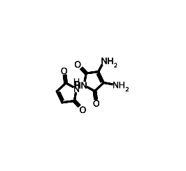 NC1=C(N)C(=O)NC1=O.O=C1C=CC(=O)N1